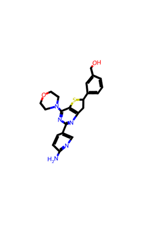 Nc1ccc(-c2nc3c(c(N4CCOCC4)n2)SC(c2cccc(CO)c2)C3)cn1